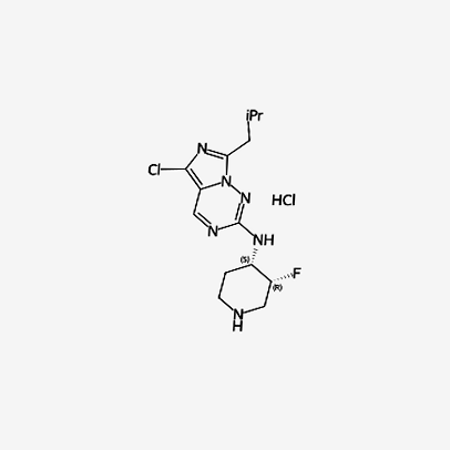 CC(C)Cc1nc(Cl)c2cnc(N[C@H]3CCNC[C@H]3F)nn12.Cl